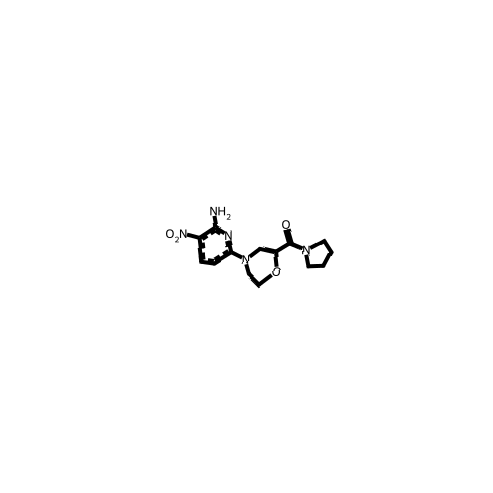 Nc1nc(N2CCOC(C(=O)N3CCCC3)C2)ccc1[N+](=O)[O-]